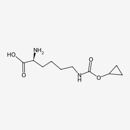 N[C@@H](CCCCNC(=O)OC1CC1)C(=O)O